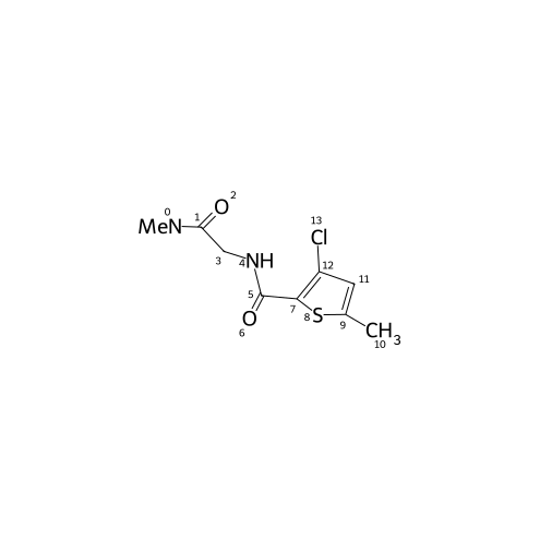 CNC(=O)CNC(=O)c1sc(C)cc1Cl